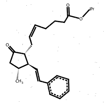 CC(C)OC(=O)CCC/C=C\C[C@H]1C(=O)C[C@@H](C)[C@@H]1/C=C/c1ccccc1